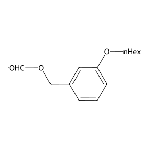 CCCCCCOc1cccc(CO[C]=O)c1